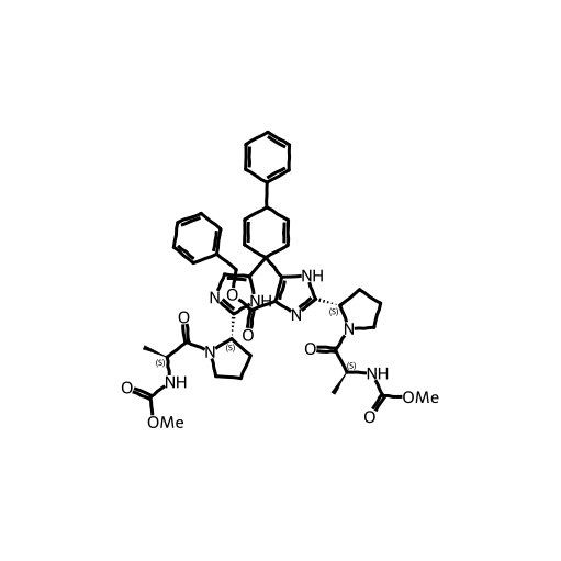 COC(=O)N[C@@H](C)C(=O)N1CCC[C@H]1c1ncc(C2(c3[nH]c([C@@H]4CCCN4C(=O)[C@H](C)NC(=O)OC)nc3C(=O)OCc3ccccc3)C=CC(c3ccccc3)C=C2)[nH]1